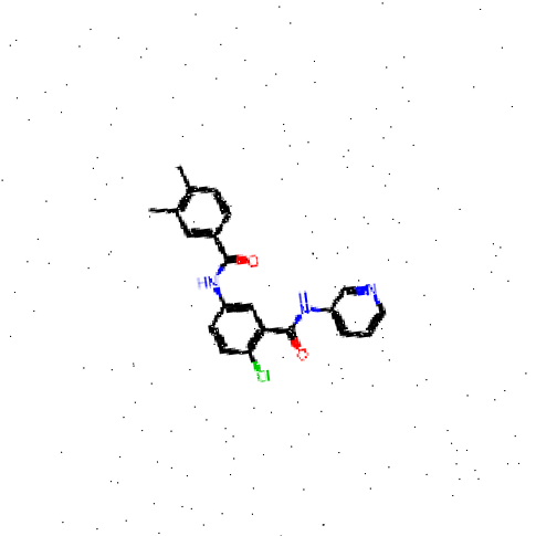 Cc1ccc(C(=O)Nc2ccc(Cl)c(C(=O)Nc3cccnc3)c2)cc1C